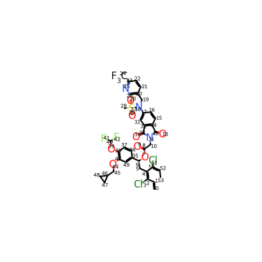 C=C/C(Cl)=C(C[C@H](OC(=O)CN1C(=O)c2ccc(N(Cc3ccc(C(F)(F)F)nc3)S(C)(=O)=O)cc2C1=O)c1ccc(OC(F)F)c(OCC2CC2)c1)\C(Cl)=C/C